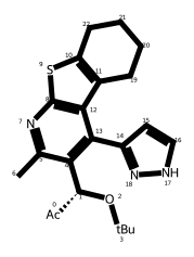 CC(=O)[C@@H](OC(C)(C)C)c1c(C)nc2sc3c(c2c1-c1cc[nH]n1)CCCC3